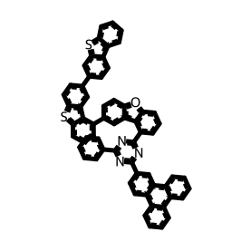 c1ccc(-c2nc(-c3ccc4c5ccccc5c5ccccc5c4c3)nc(-c3cccc4oc5ccc(-c6cccc7sc8ccc(-c9ccc%10c(c9)sc9ccccc9%10)cc8c67)cc5c34)n2)cc1